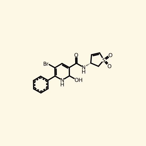 O=C(N[C@@H]1C=CS(=O)(=O)C1)C1=CC(Br)=C(c2ccccc2)NC1O